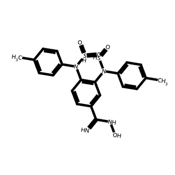 Cc1ccc(N(c2ccc(C(=N)NO)cc2N(c2ccc(C)cc2)[SH](=O)=O)[SH](=O)=O)cc1